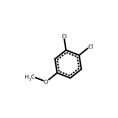 COc1[c]c(Cl)c(Cl)cc1